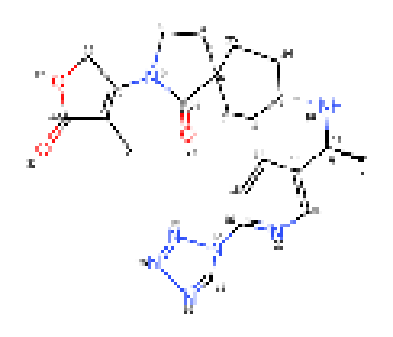 CC1=C(N2CC[C@]3(CC[C@@H](N[C@@H](C)c4ccc(-n5cnnn5)nc4)CC3)C2=O)COC1=O